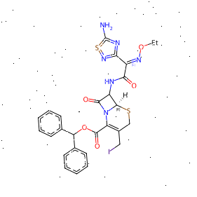 CCO/N=C(/C(=O)NC1C(=O)N2C(C(=O)OC(c3ccccc3)c3ccccc3)=C(CI)CS[C@H]12)c1nsc(N)n1